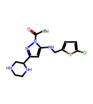 CC(C)(C)C(=O)n1nc(C2CNCCN2)cc1NCc1ccc(Cl)s1